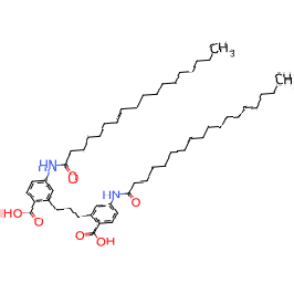 CCCCCCCCCCCCCCCCCC(=O)Nc1ccc(C(=O)O)c(CCCc2cc(NC(=O)CCCCCCCCCCCCCCCCC)ccc2C(=O)O)c1